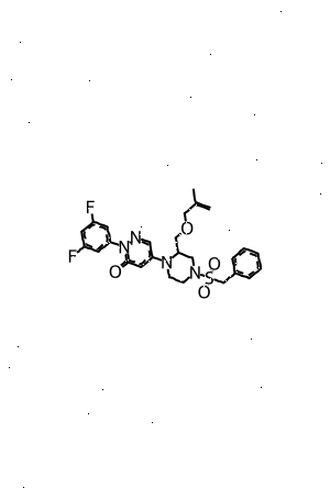 C=C(C)COCC1CN(S(=O)(=O)Cc2ccccc2)CCN1c1cnn(-c2cc(F)cc(F)c2)c(=O)c1